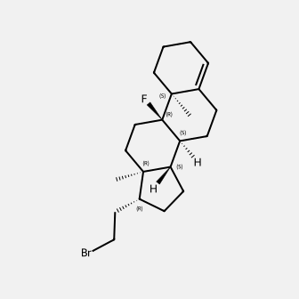 C[C@]12CC[C@@]3(F)[C@@H](CCC4=CCCC[C@@]43C)[C@@H]1CC[C@@H]2CCBr